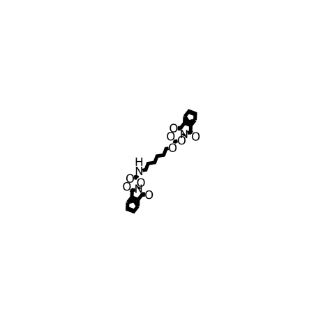 O=C(NCCCCCCOC(=O)ON1C(=O)C2C3C=CC(C3)C2C1=O)ON1C(=O)C2C3C=CC(C3)C2C1=O